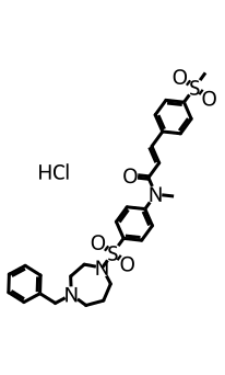 CN(C(=O)/C=C/c1ccc(S(C)(=O)=O)cc1)c1ccc(S(=O)(=O)N2CCCN(Cc3ccccc3)CC2)cc1.Cl